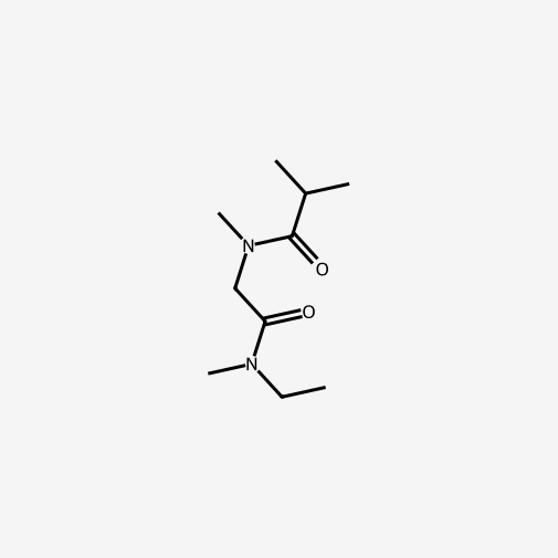 CCN(C)C(=O)CN(C)C(=O)C(C)C